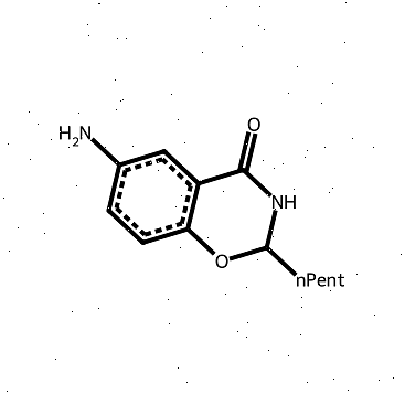 CCCCCC1NC(=O)c2cc(N)ccc2O1